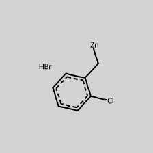 Br.Clc1ccccc1[CH2][Zn]